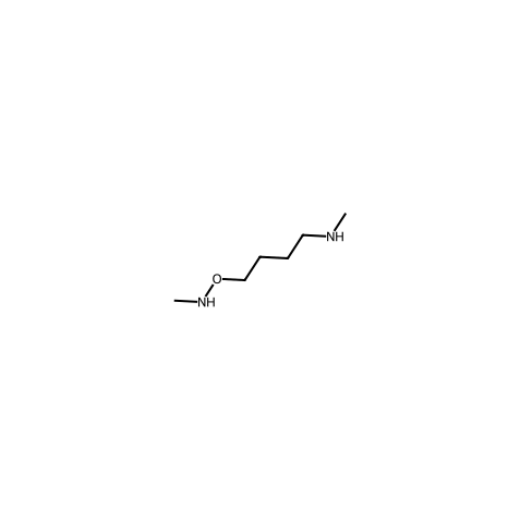 CNCCCCONC